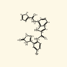 O=C(Nc1ccc(Br)cc1-c1noc(=O)[nH]1)c1cc2cccc(NC(=O)c3cccs3)c2[nH]1